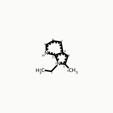 CCn1c(C)cc2cccnc21